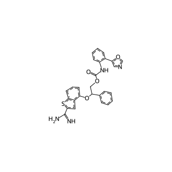 N=C(N)c1cc2c(OC(COC(=O)Nc3ccccc3-c3cnco3)c3ccccc3)cccc2s1